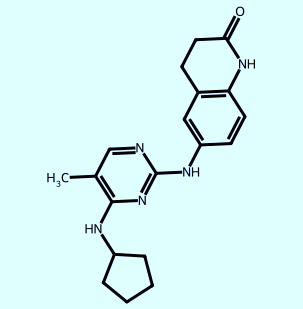 Cc1cnc(Nc2ccc3c(c2)CCC(=O)N3)nc1NC1CCCC1